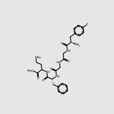 COC(=O)C(CCSC)NC(=O)[C@@H](Cc1ccccc1)NC(=O)CNC(=O)CNC(=O)[C@H](N)Cc1ccc(F)cc1